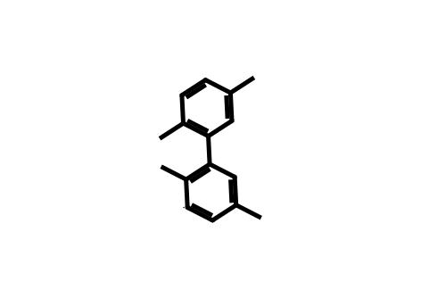 Cc1c[c]c(C)c(-c2cc(C)ccc2C)c1